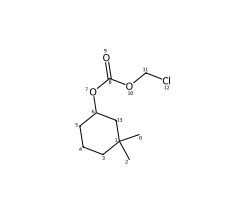 CC1(C)CCCC(OC(=O)OCCl)C1